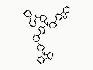 c1cc(-c2ccc(N(c3cccc(-c4ccc5c(c4)oc4ccccc45)c3)c3cccc(-c4cc5ccccc5c5ccccc45)c3)cc2)cc(-c2ccc(-n3c4ccccc4c4ccccc43)cc2)c1